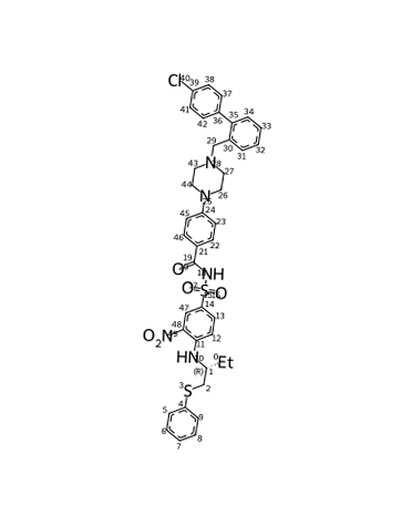 CC[C@H](CSc1ccccc1)Nc1ccc(S(=O)(=O)NC(=O)c2ccc(N3CCN(Cc4ccccc4-c4ccc(Cl)cc4)CC3)cc2)cc1[N+](=O)[O-]